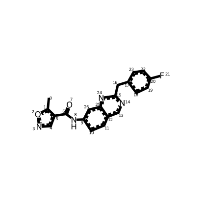 Cc1oncc1C(=O)Nc1ccc2cnc(Cc3ccc(F)cc3)nc2c1